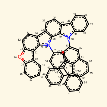 c1ccc(-c2ccc(-n3c4c(ccc5oc6ccccc6c54)c4ccc5c6ccccc6n(-c6cc7c8c(cccc8c6)-c6ccccc6-7)c5c43)cc2)cc1